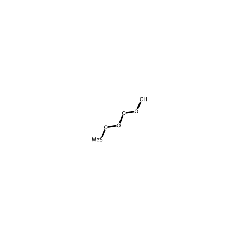 CSOOOOO